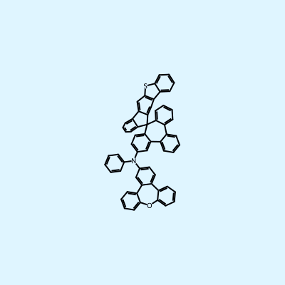 c1ccc(N(c2ccc3c(c2)-c2ccccc2Oc2ccccc2-3)c2ccc3c(c2)-c2ccccc2-c2ccccc2C32c3ccccc3-c3cc4sc5ccccc5c4cc32)cc1